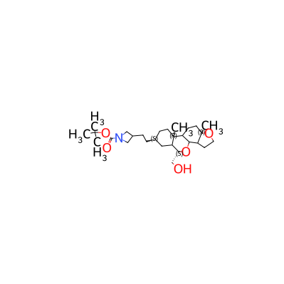 CC(C)(C)OC(=O)N1CC(CC[C@H]2CC[C@]3(C)C4CC[C@]5(C)OCCC5C4O[C@H](CO)C3C2)C1